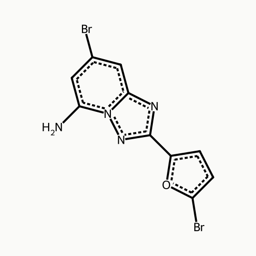 Nc1cc(Br)cc2nc(-c3ccc(Br)o3)nn12